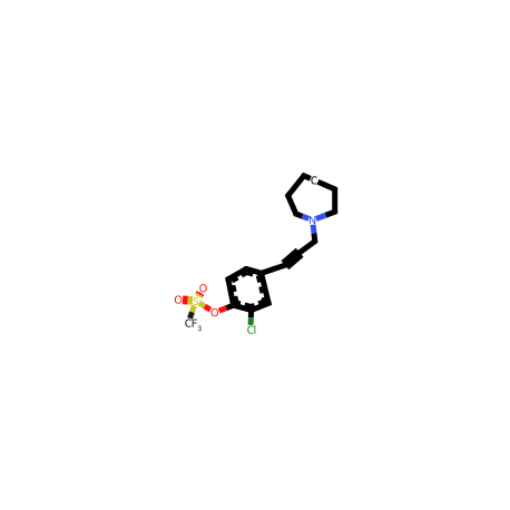 O=S(=O)(Oc1ccc(C#CCN2CCCCCC2)cc1Cl)C(F)(F)F